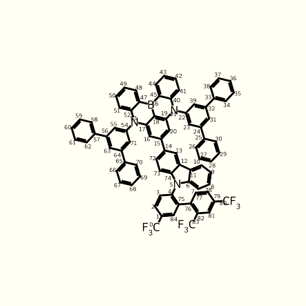 FC(F)(F)c1ccc(-n2c3ccccc3c3cc(-c4cc5c6c(c4)N(c4cc(-c7ccccc7)cc(-c7ccccc7)c4)c4ccccc4B6c4ccccc4N5c4cc(-c5ccccc5)cc(-c5ccccc5)c4)ccc32)c(-c2ccc(C(F)(F)F)cc2C(F)(F)F)c1